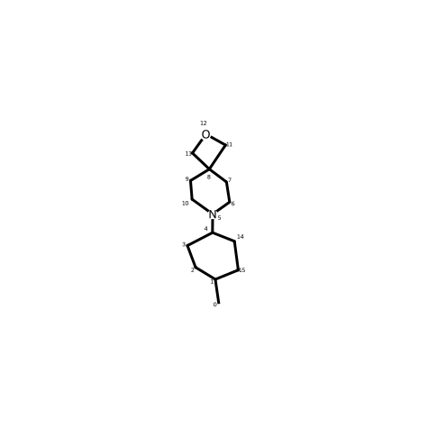 CC1CCC(N2CCC3(CC2)COC3)CC1